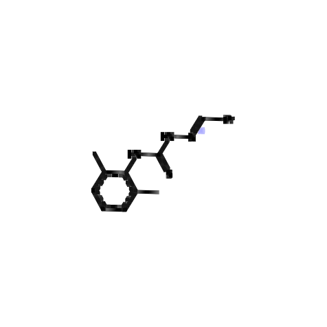 Cc1cccc(C)c1NC(=S)N/N=C/C(C)C